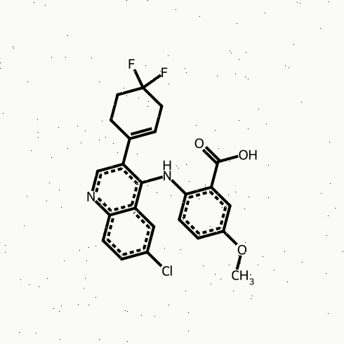 COc1ccc(Nc2c(C3=CCC(F)(F)CC3)cnc3ccc(Cl)cc23)c(C(=O)O)c1